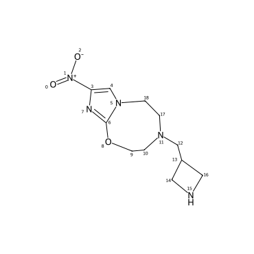 O=[N+]([O-])c1cn2c(n1)OCCN(CC1CNC1)CC2